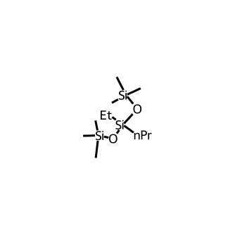 CCC[Si](CC)(O[Si](C)(C)C)O[Si](C)(C)C